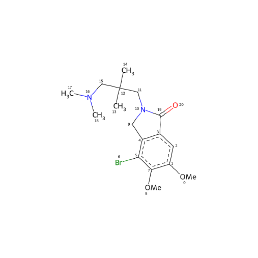 COc1cc2c(c(Br)c1OC)CN(CC(C)(C)CN(C)C)C2=O